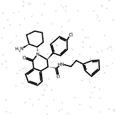 N[C@H]1CCCC[C@@H]1N1C(=O)c2ccccc2[C@@H](C(=O)NCCc2ccccc2)[C@@H]1c1ccc(Cl)cc1